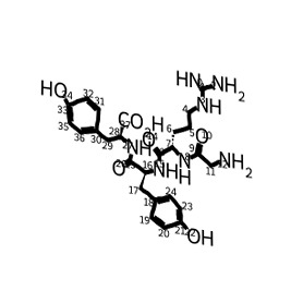 N=C(N)NCCC[C@H](NC(=O)CN)C(=O)N[C@@H](Cc1ccc(O)cc1)C(=O)N[C@@H](Cc1ccc(O)cc1)C(=O)O